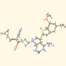 COc1cc(C)cc2cc(-c3cn(C4CN(C(=O)C(C#N)=CC5CC5)C4)c4ncnc(N)c34)sc12